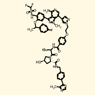 Cc1ncsc1-c1ccc(CNC(=O)[C@@H]2C[C@@H](O)CN2C(=O)C(NC(=O)c2ccc(OCCn3cc(-c4cnc(N)c5c(-c6ccc(NS(=O)(=O)C(F)F)c(OC(C)c7ccc(F)cc7)c6)nn(C)c45)cn3)cc2)C(C)(C)C)cc1